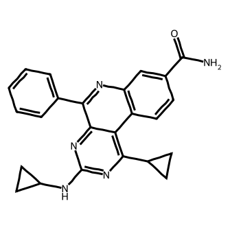 NC(=O)c1ccc2c(c1)nc(-c1ccccc1)c1nc(NC3CC3)nc(C3CC3)c12